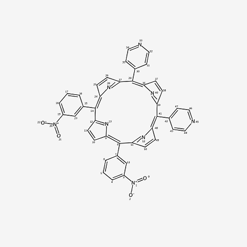 O=[N+]([O-])c1cccc(C2=C3C=CC(=N3)C(c3cccc([N+](=O)[O-])c3)=C3C=CC(=N3)C(c3ccncc3)=C3C=CC(=N3)C(c3ccncc3)=C3C=CC2=N3)c1